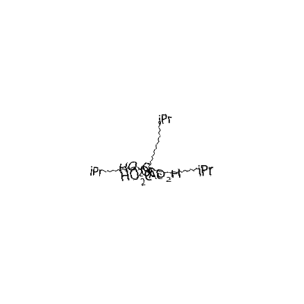 CC(=O)C(C(=O)O)C(OCCCCCCCCCCCCCCCCCC(C)C)(C(=O)O)C(CCCCCCCCCCCCCCCCCC(C)C)(CCCCCCCCCCCCCCCCCC(C)C)C(=O)O